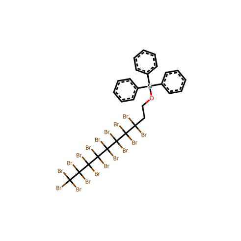 BrC(Br)(Br)C(Br)(Br)C(Br)(Br)C(Br)(Br)C(Br)(Br)C(Br)(Br)C(Br)(Br)C(Br)(Br)CCO[Si](c1ccccc1)(c1ccccc1)c1ccccc1